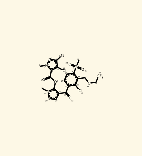 CCc1nn(C)c(C(=O)Oc2c(C(=O)c3ccc(S(C)(=O)=O)c(COCC(F)(F)F)c3Cl)cnn2C)c1Cl